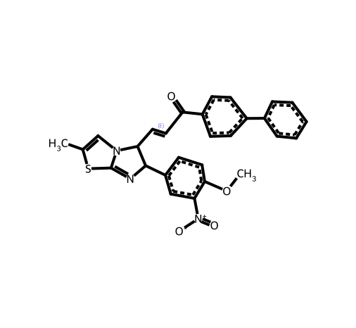 COc1ccc(C2N=C3SC(C)=CN3C2/C=C/C(=O)c2ccc(-c3ccccc3)cc2)cc1[N+](=O)[O-]